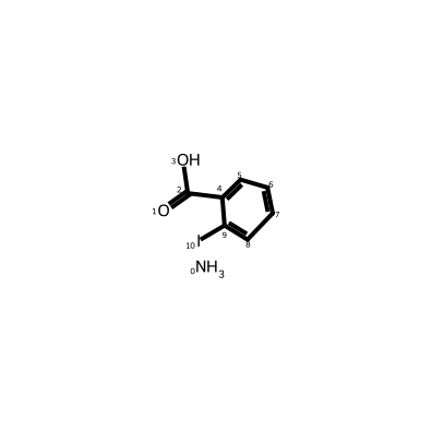 N.O=C(O)c1ccccc1I